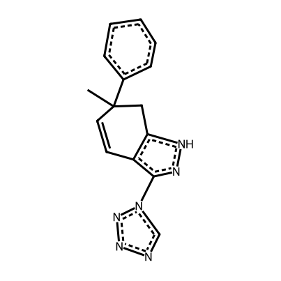 CC1(c2ccccc2)C=Cc2c(-n3cnnn3)n[nH]c2C1